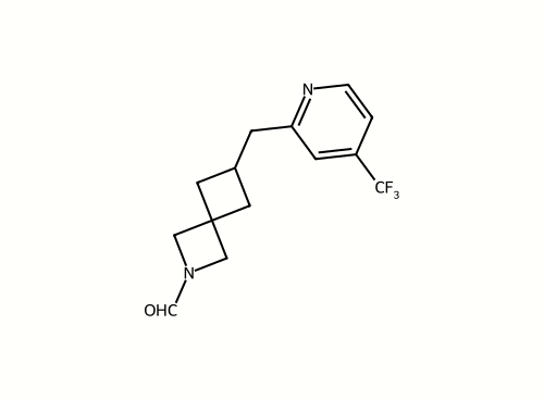 O=CN1CC2(CC(Cc3cc(C(F)(F)F)ccn3)C2)C1